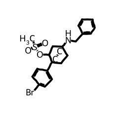 CS(=O)(=O)OC1CC2(NCc3ccccc3)CCC1(c1ccc(Br)cc1)CC2